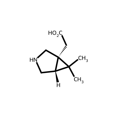 CC1(C)[C@@H]2CNC[C@]21CC(=O)O